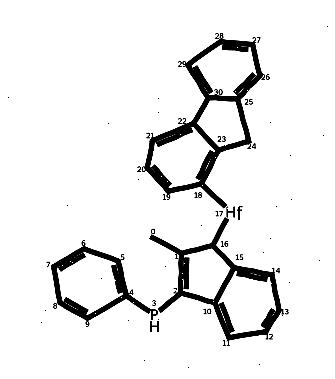 CC1=C(Pc2ccccc2)c2ccccc2[CH]1[Hf][c]1cccc2c1Cc1ccccc1-2